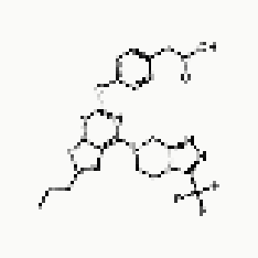 CCCc1cc2c(N3CCn4c(nnc4C(F)(F)F)C3)nc(Oc3ccc(CC(=O)O)cc3)nc2s1